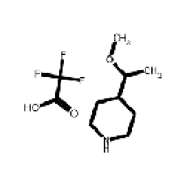 COC(C)C1CCNCC1.O=C(O)C(F)(F)F